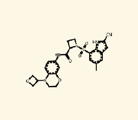 Cc1cc(S(=O)(=O)N2CCC2C(=O)Nc2ccc3c(c2)OCCN3C2COC2)c2[nH]c(C#N)cc2c1